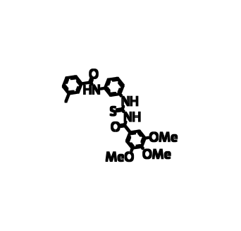 COc1cc(C(=O)NC(=S)Nc2cccc(NC(=O)c3cccc(C)c3)c2)cc(OC)c1OC